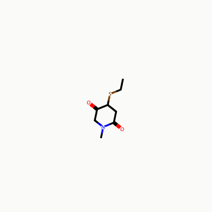 CCSC1CC(=O)N(C)CC1=O